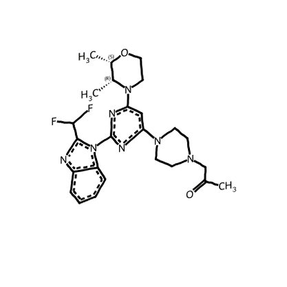 CC(=O)CN1CCN(c2cc(N3CCO[C@@H](C)[C@H]3C)nc(-n3c(C(F)F)nc4ccccc43)n2)CC1